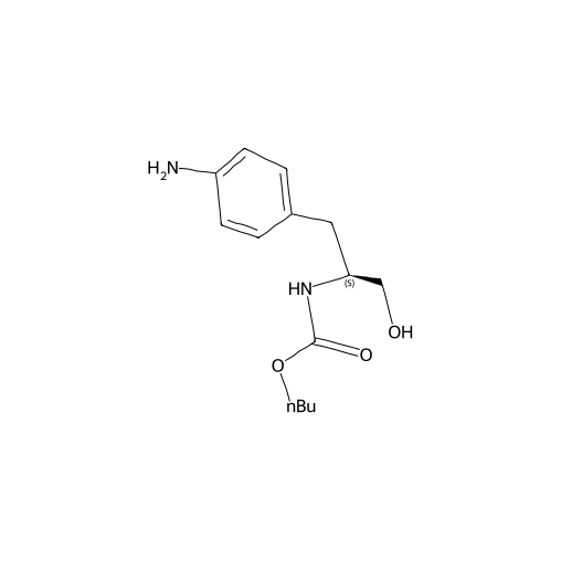 CCCCOC(=O)N[C@H](CO)Cc1ccc(N)cc1